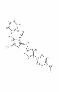 COc1ccc(-c2ccc(/C=C3\SC(=O)N(Cc4ccccc4)C3=O)o2)cc1